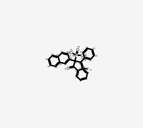 O=C(c1ccccc1)C(C(=CF)c1ccccc1)(c1ccc2ccccc2c1)P(=O)(O)O